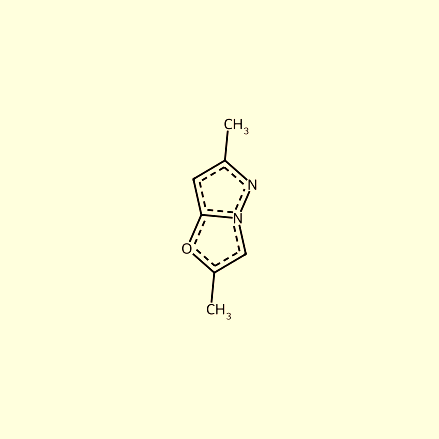 Cc1cc2oc(C)cn2n1